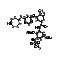 COc1c(NC(=O)c2ccc(C)c(Oc3cc(CC4CCCNCC4)ncn3)c2)cc(C(C)(C)C)cc1NS(C)(=O)=O